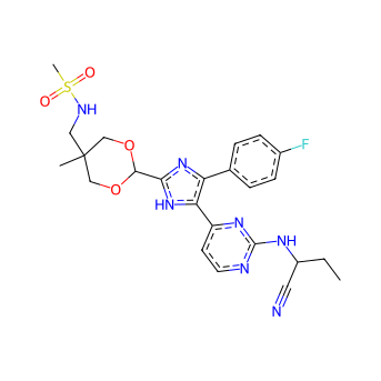 CCC(C#N)Nc1nccc(-c2[nH]c(C3OCC(C)(CNS(C)(=O)=O)CO3)nc2-c2ccc(F)cc2)n1